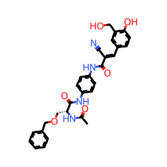 CC(=O)N[C@H](COCc1ccccc1)C(=O)Nc1ccc(NC(=O)/C(C#N)=C/c2ccc(O)c(CO)c2)cc1